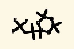 CC(C)(CC(F)(F)F)[Si]1(C)O[Si](C)(C)O[Si](C)(C)O1